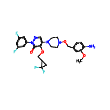 COc1cc(CON2CCN(c3cnn(-c4cc(F)cc(F)c4)c(=O)c3OCC3CC3(F)F)CC2)ccc1N